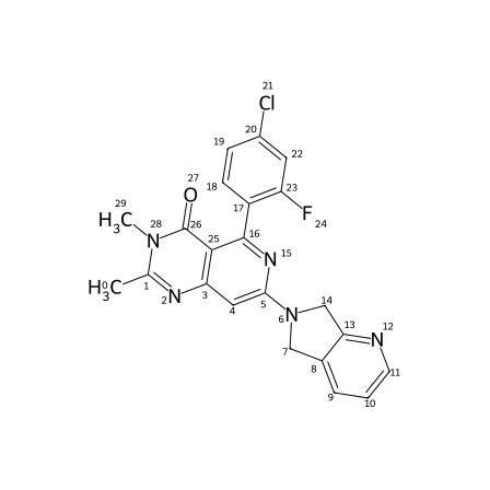 Cc1nc2cc(N3Cc4cccnc4C3)nc(-c3ccc(Cl)cc3F)c2c(=O)n1C